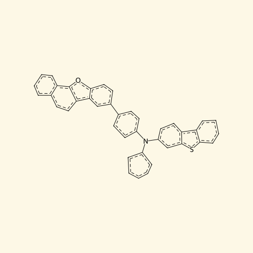 c1ccc(N(c2ccc(-c3ccc4oc5c6ccccc6ccc5c4c3)cc2)c2ccc3c(c2)sc2ccccc23)cc1